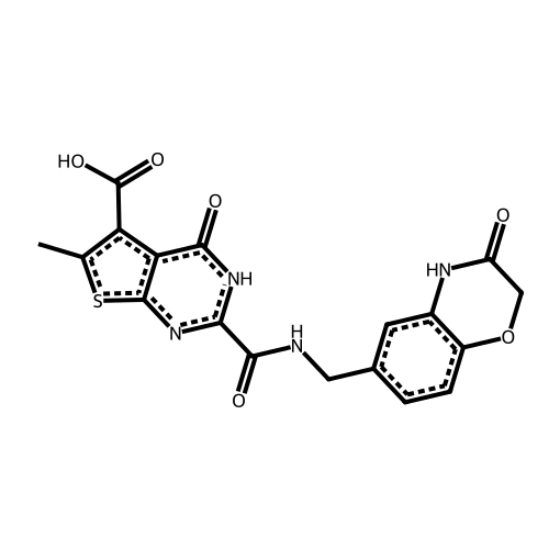 Cc1sc2nc(C(=O)NCc3ccc4c(c3)NC(=O)CO4)[nH]c(=O)c2c1C(=O)O